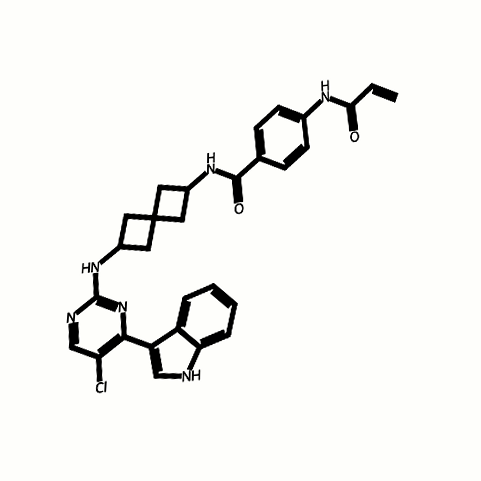 C=CC(=O)Nc1ccc(C(=O)NC2CC3(C2)CC(Nc2ncc(Cl)c(-c4c[nH]c5ccccc45)n2)C3)cc1